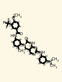 COc1ccc(C(=O)Nc2ccc(C)c(N3Cc4cnc(Nc5cccc(N(C)C)c5)nc4NC3=O)c2)cc1C(F)(F)F